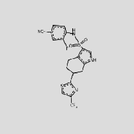 N#Cc1ccc(NS(=O)(=O)c2c[nH]c3c2CCC(c2nc(C(F)(F)F)cs2)C3)c(F)c1